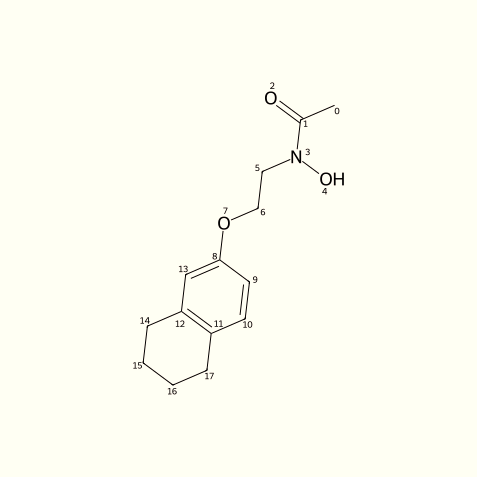 CC(=O)N(O)CCOc1ccc2c(c1)CCCC2